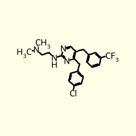 CN(C)CCNc1ncc(Cc2cccc(C(F)(F)F)c2)c(Cc2ccc(Cl)cc2)n1